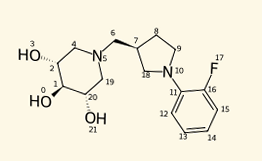 O[C@H]1[C@H](O)CN(C[C@H]2CCN(c3ccccc3F)C2)C[C@@H]1O